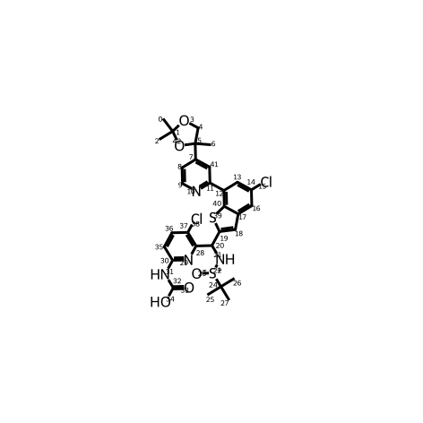 CC1(C)OCC(C)(c2ccnc(-c3cc(Cl)cc4cc(C(N[S+]([O-])C(C)(C)C)c5nc(NC(=O)O)ccc5Cl)sc34)c2)O1